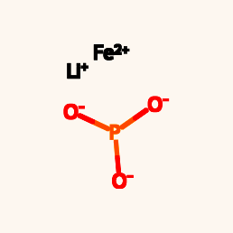 [Fe+2].[Li+].[O-]P([O-])[O-]